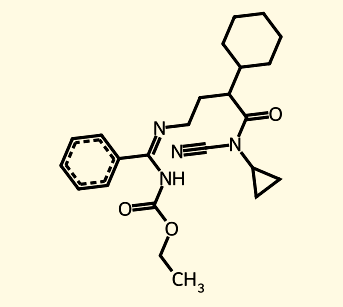 CCOC(=O)NC(=NCCC(C(=O)N(C#N)C1CC1)C1CCCCC1)c1ccccc1